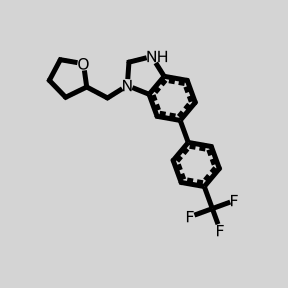 FC(F)(F)c1ccc(-c2ccc3c(c2)N(CC2CCCO2)CN3)cc1